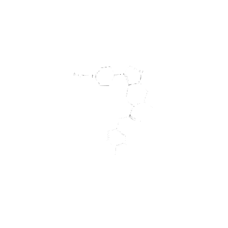 CC(=O)N1CCC(c2cnn3c2CN(C(=O)Nc2ccc(F)c(Cl)c2)C(C)C3)CC1